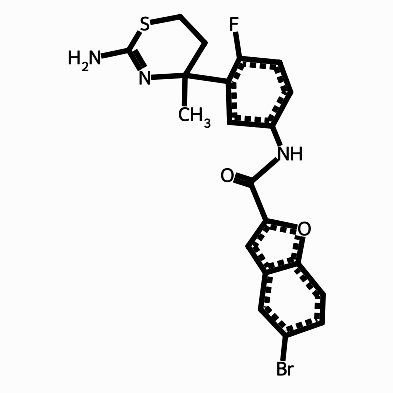 CC1(c2cc(NC(=O)c3cc4cc(Br)ccc4o3)ccc2F)CCSC(N)=N1